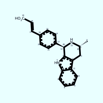 C[C@@H]1Cc2c([nH]c3ccccc23)[C@@H](c2ccc(C=CC(=O)O)cc2)N1